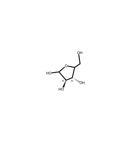 OCC1OC(O)[C@H](O)[C@H]1O